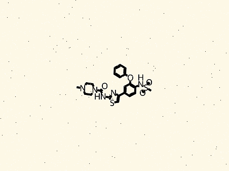 CN1CCN(C(=O)Nc2nc(-c3ccc(NS(C)(=O)=O)c(Oc4ccccc4)c3)cs2)CC1